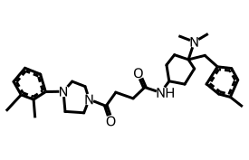 Cc1ccc(CC2(N(C)C)CCC(NC(=O)CCC(=O)N3CCN(c4cccc(C)c4C)CC3)CC2)cc1